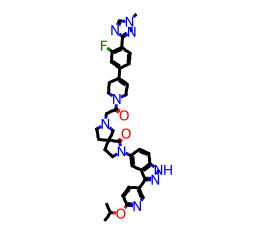 CC(C)Oc1ccc(-c2n[nH]c3ccc(N4CCC5(CCN(CC(=O)N6CC=C(c7ccc(-c8ncn(C)n8)c(F)c7)CC6)C5)C4=O)cc23)cn1